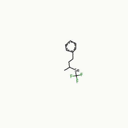 CC(CCc1ccccc1)[Se]C(F)(F)F